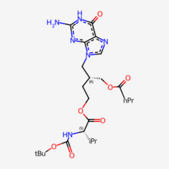 CCCC(=O)OC[C@H](CCOC(=O)[C@@H](NC(=O)OC(C)(C)C)C(C)C)Cn1cnc2c(=O)[nH]c(N)nc21